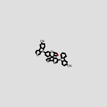 N#Cc1ccc2c(c1)c1ccccc1n2-c1cnc2c(c1)C1(c3ccccc3Oc3cc(-n4c5ccc(C#N)cc5c5ccncc54)ccc31)c1cccnc1-2